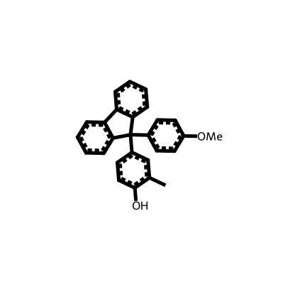 COc1ccc(C2(c3ccc(O)c(C)c3)c3ccccc3-c3ccccc32)cc1